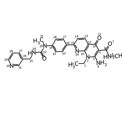 CCn1c(N)c(C(=O)NC)c(=O)c2ccc(-c3ccc(N(C)C(=O)NCc4cccnc4)cc3)nc21